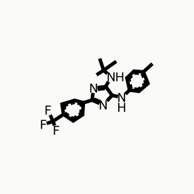 Cc1ccc(NC2N=C(c3ccc(C(F)(F)F)cc3)N=C2NC(C)(C)C)cc1